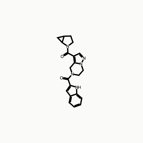 O=C(c1cc2ccccc2[nH]1)N1CCn2ncc(C(=O)N3CCC4CC43)c2C1